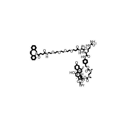 CCCC1O[C@@H]2C[C@H]3[C@@H]4C[C@H](F)C5=CC(=O)C=C[C@]5(C)[C@@]4(F)[C@@H](O)C[C@]3(C)[C@]2(C(=O)COC(=O)N(C)CCN(C)C(=O)OCc2ccc(NC(=O)[C@H](CCCNC(N)=O)NC(=O)[C@@H](NC(=O)CCOCCOCCOCCOCCNC(=O)CCC(=O)N3Cc4ccccc4C#Cc4ccccc43)C(C)C)cc2)O1